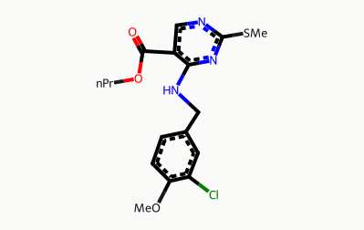 CCCOC(=O)c1cnc(SC)nc1NCc1ccc(OC)c(Cl)c1